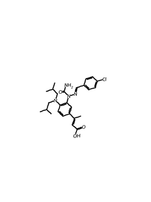 C/C(=C\C(=O)O)c1ccc(N(CC(C)C)CC(C)C)c(N(/N=C/c2ccc(Cl)cc2)C(N)=O)c1